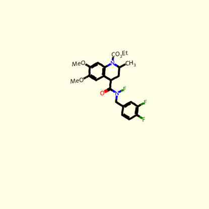 CCOC(=O)N1c2cc(OC)c(OC)cc2C(C(=O)N(F)Cc2ccc(F)c(F)c2)CC1C